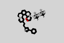 C(=C\c1cc(-c2ccccc2)cs1)/c1cc[n+]2c(c1)-c1c(ccc3c1-c1c4ccccc4cc[n+]1CC3)CC2.O=S(=O)([O-])C(F)(F)F.O=S(=O)([O-])C(F)(F)F